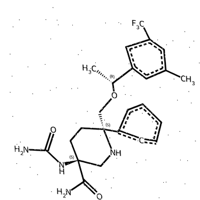 Cc1cc([C@@H](C)OC[C@@]2(c3ccccc3)CC[C@@](NC(N)=O)(C(N)=O)CN2)cc(C(F)(F)F)c1